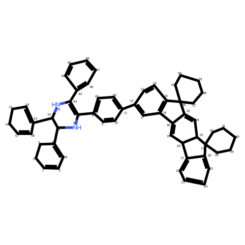 C1=CCCC(C2NC(c3ccc(-c4ccc5c(c4)C4=CC6c7ccccc7C7(CCCCC7)C6C=C4C54CCCCC4)cc3)=C(c3ccccc3)NC2C2=CCCC=C2)=C1